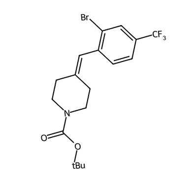 CC(C)(C)OC(=O)N1CCC(=Cc2ccc(C(F)(F)F)cc2Br)CC1